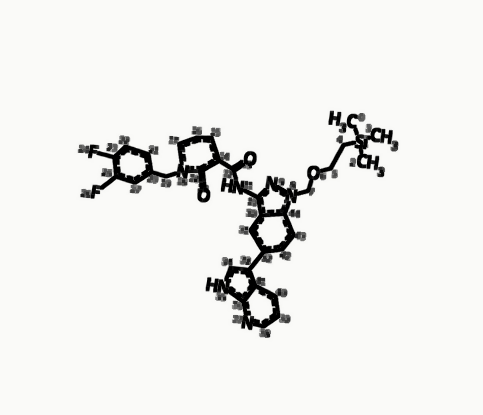 C[Si](C)(C)CCOCn1nc(NC(=O)c2cccn(Cc3ccc(F)c(F)c3)c2=O)c2cc(-c3c[nH]c4ncccc34)ccc21